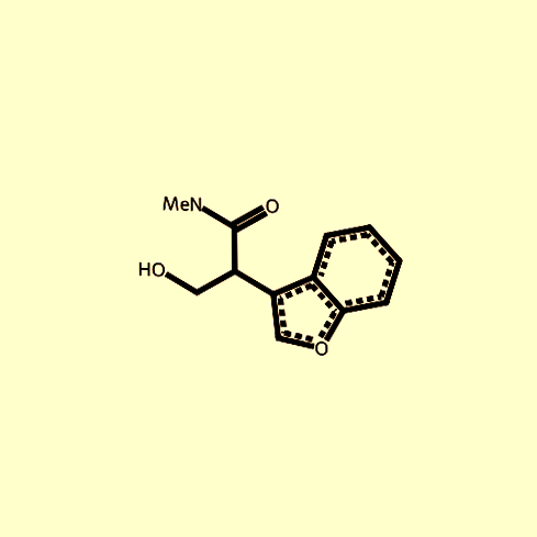 CNC(=O)C(CO)c1coc2ccccc12